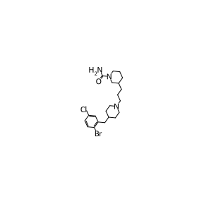 NC(=O)N1CCCC(CCCN2CCC(Cc3cc(Cl)ccc3Br)CC2)C1